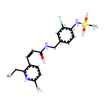 CCC(C)Cc1nc(C(F)(F)F)ccc1/C=C\C(=O)NCc1ccc(NS(C)(=O)=O)c(F)c1